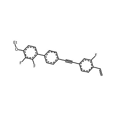 C=Cc1ccc(C#Cc2ccc(-c3ccc(OCC)c(F)c3F)cc2)cc1F